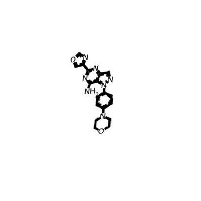 Nc1nc(-c2cocn2)nc2cnn(-c3ccc(N4CCOCC4)cc3)c12